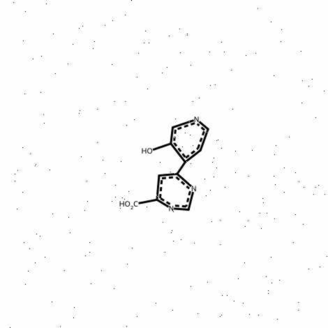 O=C(O)c1cc(-c2ccncc2O)ncn1